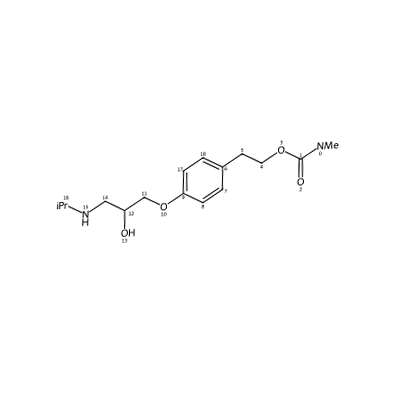 CNC(=O)OCCc1ccc(OCC(O)CNC(C)C)cc1